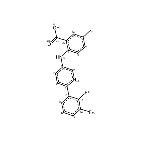 Cc1ccc(Nc2ccc(-c3cccc(F)c3F)nc2)c(C(=O)O)c1